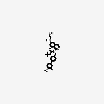 COc1ccc(-c2ccc(CN(C(=O)CC(C)(C)C)c3nccc4cc(NCCO)ccc34)cc2)cc1C